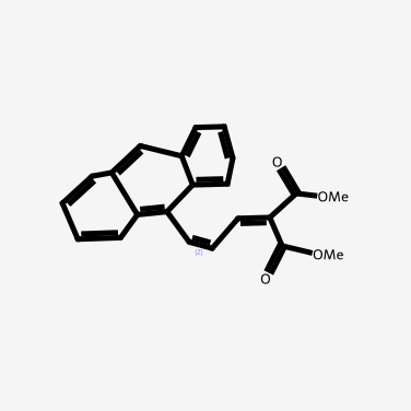 COC(=O)C(=C/C=C\c1c2ccccc2cc2ccccc12)C(=O)OC